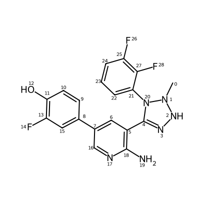 CN1NN=C(c2cc(-c3ccc(O)c(F)c3)cnc2N)N1c1cccc(F)c1F